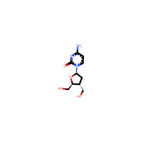 Nc1ccn([C@H]2C[C@H](CO)[C@@H](CO)O2)c(=O)n1